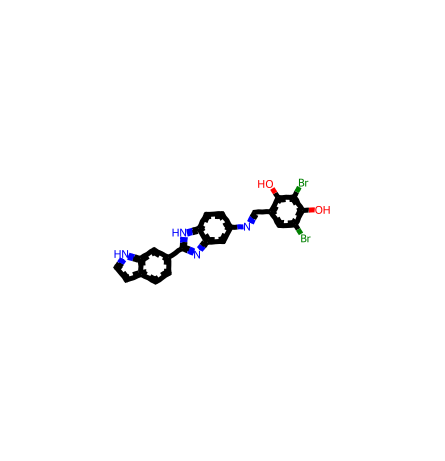 Oc1c(Br)cc(/C=N/c2ccc3[nH]c(-c4ccc5cc[nH]c5c4)nc3c2)c(O)c1Br